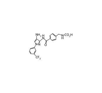 Nc1cn(-c2cccc(C(F)(F)F)c2)nc1NC(=O)c1ccc(CNC(=O)O)cc1